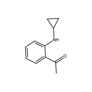 CC(=O)c1ccccc1NC1CC1